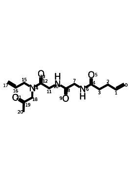 C=CCCC(=O)NCC(=O)NCC(=O)N(CC=C)CC(C)=O